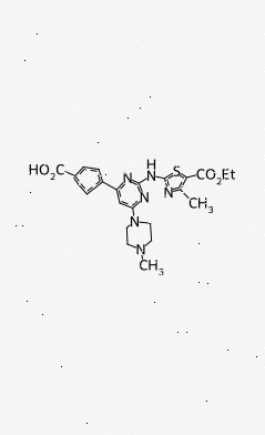 CCOC(=O)c1sc(Nc2nc(-c3ccc(C(=O)O)cc3)cc(N3CCN(C)CC3)n2)nc1C